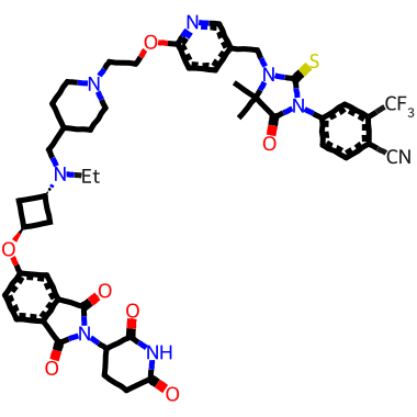 CCN(CC1CCN(CCOc2ccc(CN3C(=S)N(c4ccc(C#N)c(C(F)(F)F)c4)C(=O)C3(C)C)cn2)CC1)[C@H]1C[C@H](Oc2ccc3c(c2)C(=O)N(C2CCC(=O)NC2=O)C3=O)C1